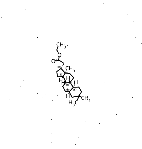 CCOC(=O)C[C@H]1CC[C@H]2[C@@H]3CC[C@@H]4CC(C)(C)CC[C@@H]4[C@H]3CC[C@]12C